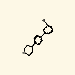 Sc1cccc(-c2ccc(C3CCNCC3)cc2)c1